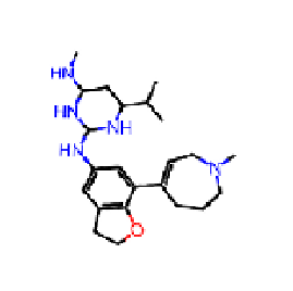 CNC1CC(C(C)C)NC(Nc2cc3c(c(C4=CCN(C)CCC4)c2)OCC3)N1